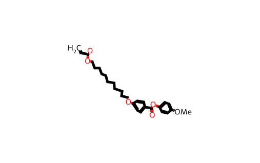 C=CC(=O)OCCCCCCCCCCCOc1ccc(C(=O)Oc2ccc(OC)cc2)cc1